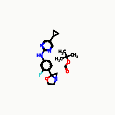 CC(C)(C)OC=O.Fc1cc(Nc2ncc(C3CC3)cn2)ccc1C12CN1CCO2